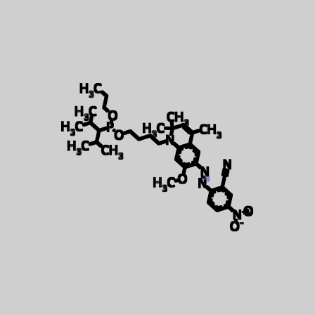 CCCOP(OCCCCN1c2cc(OC)c(/N=N/c3ccc([N+](=O)[O-])cc3C#N)cc2C(C)=CC1(C)C)C(C(C)C)C(C)C